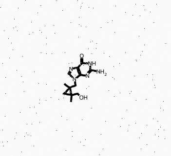 CC1(CO)CC1(C)Cn1cnc2c(=O)[nH]c(N)nc21